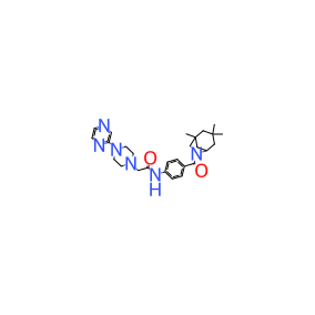 CC1(C)CC2CC(C)(CN2C(=O)c2ccc(NC(=O)CN3CCN(c4cnccn4)CC3)cc2)C1